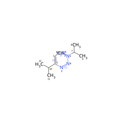 C/C=C(\N=N/N(N)C(C)C)C(C)C